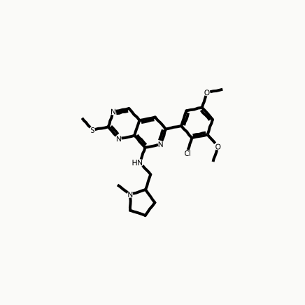 COc1cc(OC)c(Cl)c(-c2cc3cnc(SC)nc3c(NCC3CCCN3C)n2)c1